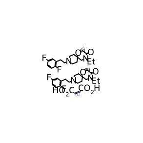 CCN1CC2(CCN(CCc3cc(F)ccc3F)CC2)O[C@H](C)C1=O.CCN1CC2(CCN(CCc3cc(F)ccc3F)CC2)O[C@H](C)C1=O.O=C(O)/C=C\C(=O)O